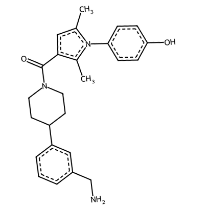 Cc1cc(C(=O)N2CCC(c3cccc(CN)c3)CC2)c(C)n1-c1ccc(O)cc1